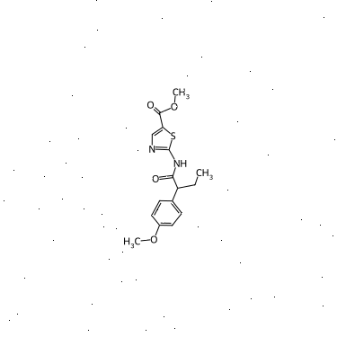 CCC(C(=O)Nc1ncc(C(=O)OC)s1)c1ccc(OC)cc1